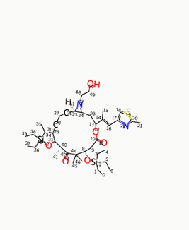 CC[Si](CC)(CC)O[C@H]1CC(=O)OC(/C(C)=C/c2csc(C)n2)CC2[C@@H](CCCC(C)[C@H](O[Si](CC)(CC)CC)[C@@H](C)C(=O)C1(C)C)[N@@]2CCO